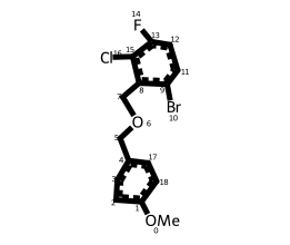 COc1ccc(COCc2c(Br)ccc(F)c2Cl)cc1